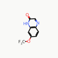 O=c1cnc2ccc(OC(F)(F)F)cc2[nH]1